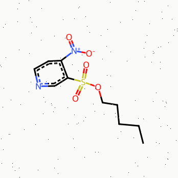 CCCCCOS(=O)(=O)c1cnccc1[N+](=O)[O-]